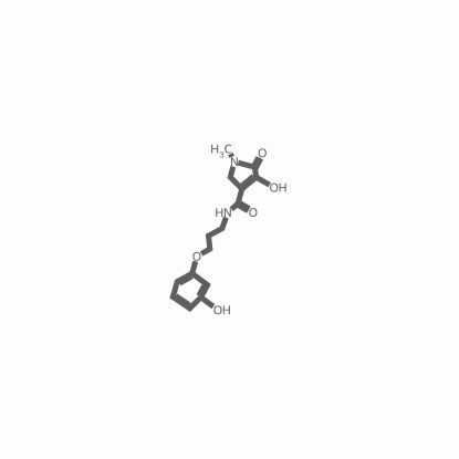 CN1CC(C(=O)NCCCOc2cccc(O)c2)=C(O)C1=O